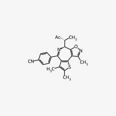 [C-]#[N+]c1ccc(C2=N[C@@H]([C@@H](C)C(C)=O)c3onc(C)c3-c3sc(C)c(C)c32)cc1